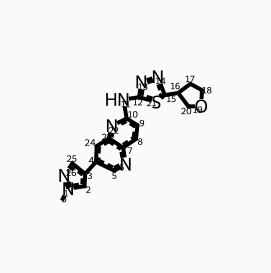 Cn1cc(-c2cnc3ccc(Nc4nnc(C5CCOC5)s4)nc3c2)cn1